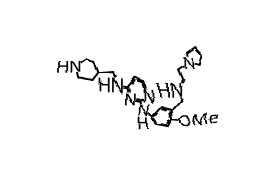 COc1ccc(Nc2nccc(NCC3CCNCC3)n2)cc1CNCCN1CCCC1